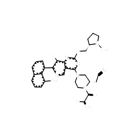 C=C(F)C(=O)N1CCN(c2nc(OC[C@H]3CCCN3C)nc3c(F)c(-c4cccc5cccc(C)c45)ncc23)C[C@@H]1CC#N